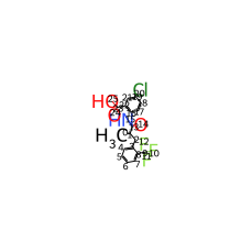 CC(Cc1ccccc1C(F)(F)F)C(=O)Nc1ccc(Cl)cc1C(=O)O